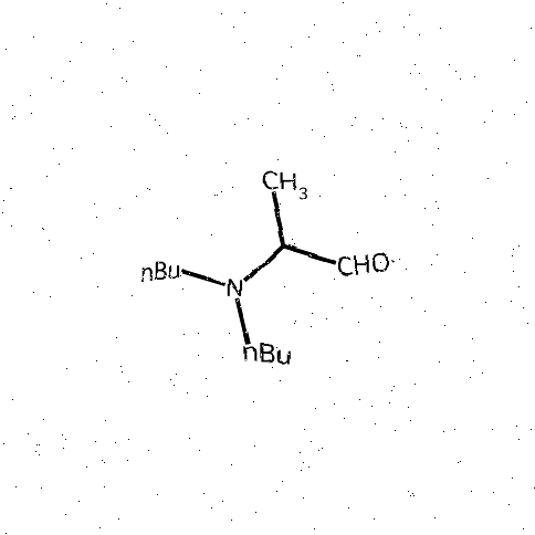 CCCCN(CCCC)C(C)[C]=O